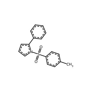 Cc1ccc(S(=O)(=O)n2cccc2-c2ccccc2)cc1